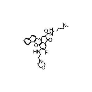 CN(C)CCCCNC(=O)c1cn2c3c(c(NCCN4CCOCC4)c(F)cc3c1=O)Oc1c-2ccc2ccccc12